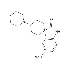 COc1ccc2c(c1)C1(CCC(N3CCCCC3)CC1)C(=O)N2